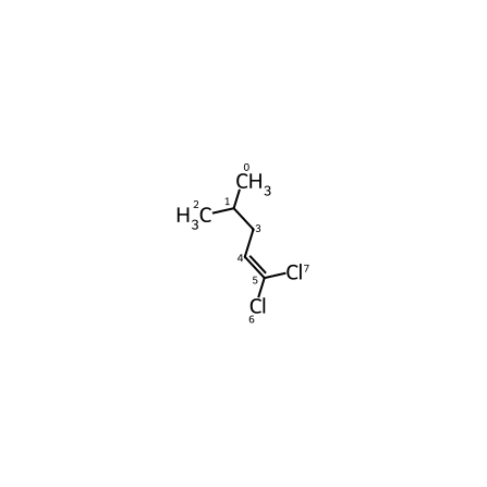 CC(C)CC=C(Cl)Cl